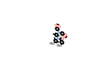 Cc1cc(N(c2ccc3c(c2)OCCO3)c2ccc3c(c2)OCCO3)c(Cl)c(N(c2c(C)cc(C(C)(C)C)cc2C)c2coc3ccc(C(C)(C)C)cc23)c1